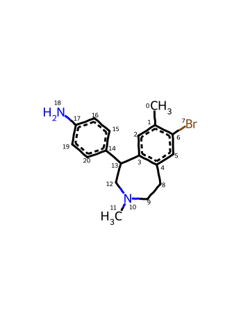 Cc1cc2c(cc1Br)CCN(C)CC2c1ccc(N)cc1